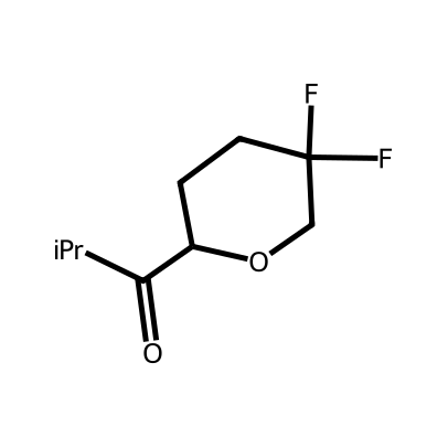 CC(C)C(=O)C1CCC(F)(F)CO1